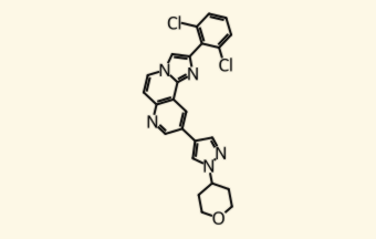 Clc1cccc(Cl)c1-c1cn2ccc3ncc(-c4cnn(C5CCOCC5)c4)cc3c2n1